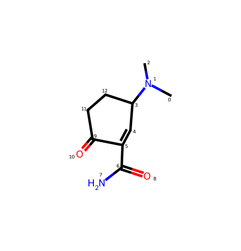 CN(C)C1C=C(C(N)=O)C(=O)CC1